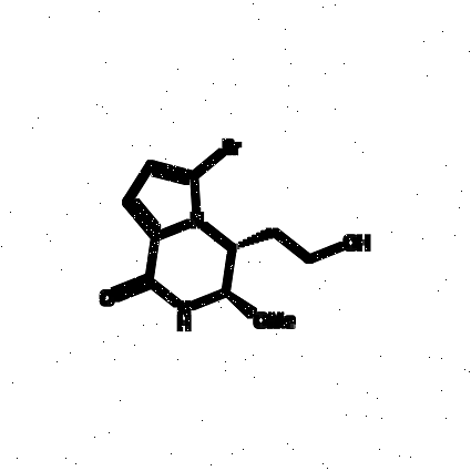 CO[C@H]1NC(=O)c2ccc(Br)n2[C@@H]1CCO